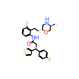 [CH2][C@H]1CO[C@H](CCc2c(F)cccc2NC(=O)C[C@@H](c2ccc(F)cc2)c2ccsc2)CN1